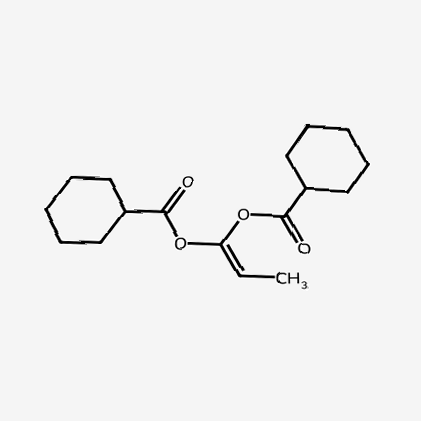 CC=C(OC(=O)C1CCCCC1)OC(=O)C1CCCCC1